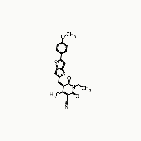 CCN1C(=O)C(C#N)=C(C)/C(=C/c2cc3sc(-c4ccc(OC)cc4)cc3s2)C1=O